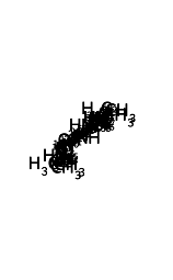 CC(C)(C)OC(=O)N[C@@H](C(=O)N1CCC[C@H]1C(=O)Nc1ccc2c(c1)CCc1c-2[nH]c2ccc(NC(=O)[C@@H]3CCCN3C(=O)[C@H](NC(=O)OC(C)(C)C)c3ccccc3)cc12)c1ccccc1